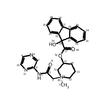 C[N@@+]1(CC(=O)Nc2cnccn2)CCCC(OC(=O)C2(O)c3ccccc3-c3ccccc32)C1